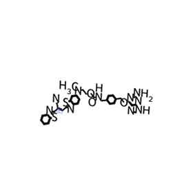 CN(CCOC(=O)NCc1ccc(COc2nc(N)nc3[nH]cnc23)cc1)c1ccc2nc(/C=C(\C#N)c3nc4ccccc4s3)sc2c1